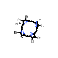 CCC1=C(CC)c2cc3[nH]c(cc4nc(cc5[nH]c(cc1n2)c(CC)c5CC)C(CC)=C4CC)c(CC)c3CC.[Ni+3]